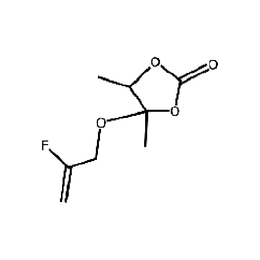 C=C(F)COC1(C)OC(=O)OC1C